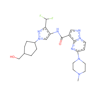 CN1CCN(c2ccn3ncc(C(=O)Nc4cn(C5CCC(CO)CC5)nc4C(F)F)c3n2)CC1